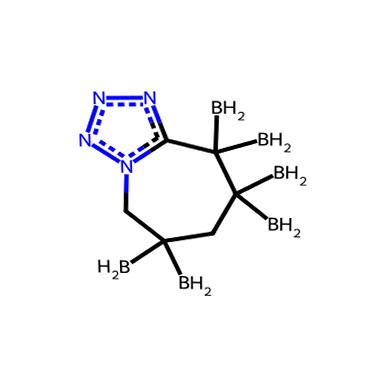 BC1(B)Cn2nnnc2C(B)(B)C(B)(B)C1